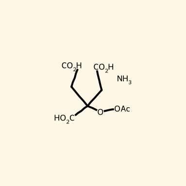 CC(=O)OOC(CC(=O)O)(CC(=O)O)C(=O)O.N